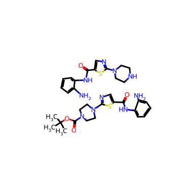 CC(C)(C)OC(=O)N1CCN(c2ncc(C(=O)Nc3ccccc3N)s2)CC1.Nc1ccccc1NC(=O)c1cnc(N2CCNCC2)s1